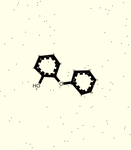 Oc1ccccc1Oc1ccccc1